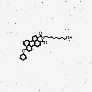 O=C1c2ccc3c4cccc5c(Oc6ccccc6)ccc(c6ccc(c2c36)C(=O)N1CCCCCCCCO)c54